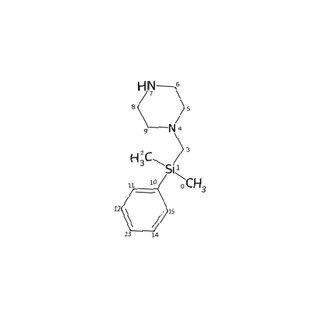 C[Si](C)(CN1CCNCC1)c1ccccc1